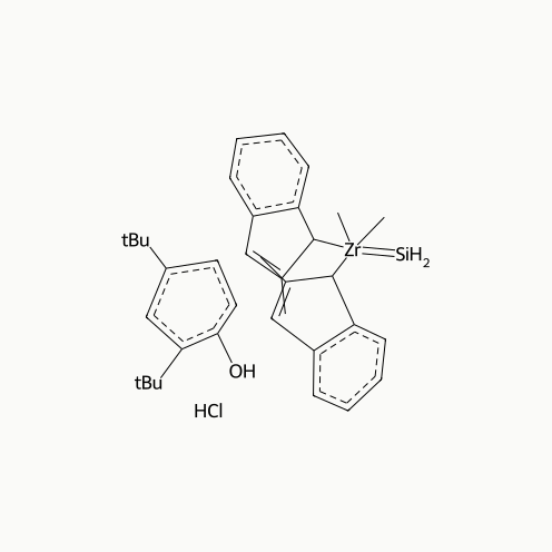 CC(C)(C)c1ccc(O)c(C(C)(C)C)c1.CC1=Cc2ccccc2[CH]1[Zr]([CH3])([CH3])(=[SiH2])[CH]1C(C)=Cc2ccccc21.Cl